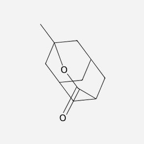 CC12CC3CC(CC(C3)C(=O)O1)C2